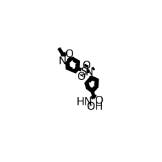 Cc1nc2ccc(S(=O)(=O)N(C)c3ccc(C(=O)NO)cc3)cc2o1